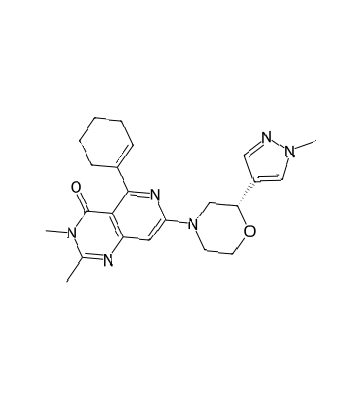 Cc1nc2cc(N3CCO[C@@H](c4cnn(C)c4)C3)nc(C3=CCCCC3)c2c(=O)n1C